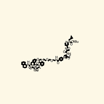 C[C@@H](C(=O)N[C@H](C(=O)N1Cc2cc(OCCOCCOCCOCCNC(=O)c3ccc(-n4cc(NC(=O)c5coc(-c6ccnc(N(CC7CC7)C(=O)OC(C)(C)C)c6)n5)c(C(F)F)n4)cc3)ccc2C[C@H]1C(=O)N[C@@H]1CCCc2ccccc21)C(C)(C)C)N(C)C(=O)OCc1ccccc1